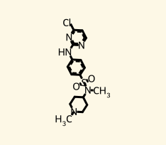 CN1CCC(N(C)S(=O)(=O)c2ccc(Nc3nccc(Cl)n3)cc2)CC1